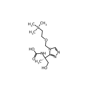 C[C@](CO)(NC(=O)O)c1nncn1COCC[Si](C)(C)C